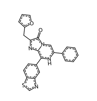 O=c1c(Cc2ccco2)nc2c(-c3ccc4scnc4c3)[nH]c(-c3ccccc3)cn1-2